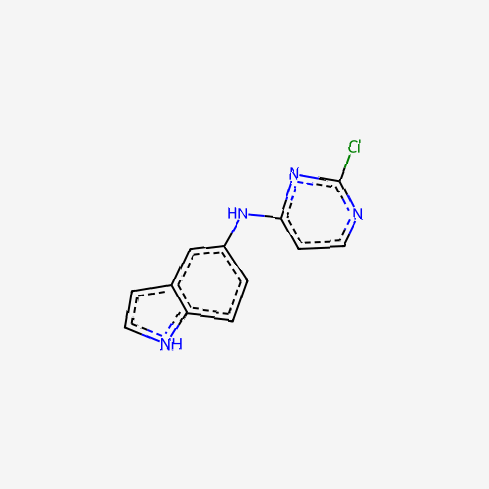 Clc1nccc(Nc2ccc3[nH]ccc3c2)n1